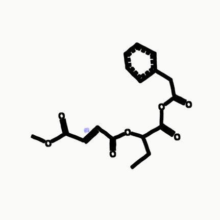 CCC(OC(=O)/C=C/C(=O)OC)C(=O)OC(=O)Cc1ccccc1